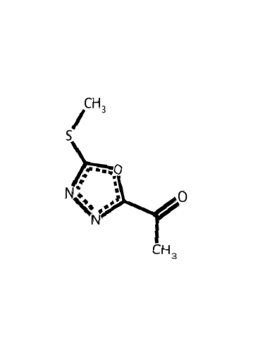 CSc1nnc(C(C)=O)o1